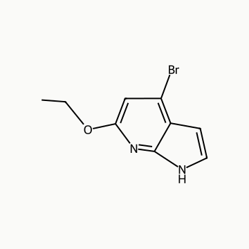 CCOc1cc(Br)c2cc[nH]c2n1